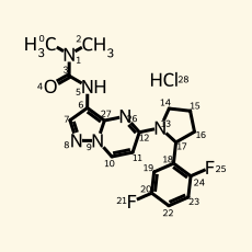 CN(C)C(=O)Nc1cnn2ccc(N3CCCC3c3cc(F)ccc3F)nc12.Cl